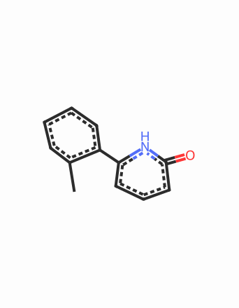 Cc1ccccc1-c1cccc(=O)[nH]1